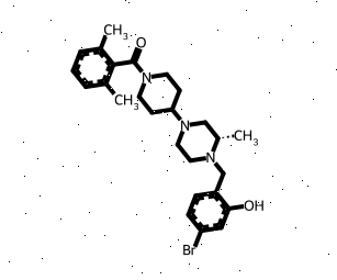 Cc1cccc(C)c1C(=O)N1CCC(N2CCN(Cc3ccc(Br)cc3O)[C@@H](C)C2)CC1